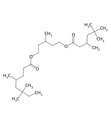 CCC(C)(C)CC(C)CCC(=O)OCCC(C)CCOC(=O)CC(C)CC(C)(C)C